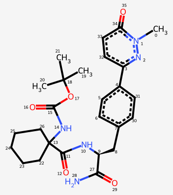 Cn1nc(-c2ccc(C[C@H](NC(=O)C3(NC(=O)OC(C)(C)C)CCCCC3)C(N)=O)cc2)ccc1=O